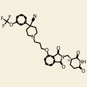 N#CC1(c2cccc(OC(F)(F)F)c2)CCN(CCCOc2cccc3c2C(=O)N(C[C@@H]2CCC(=O)NC2=O)C3=O)CC1